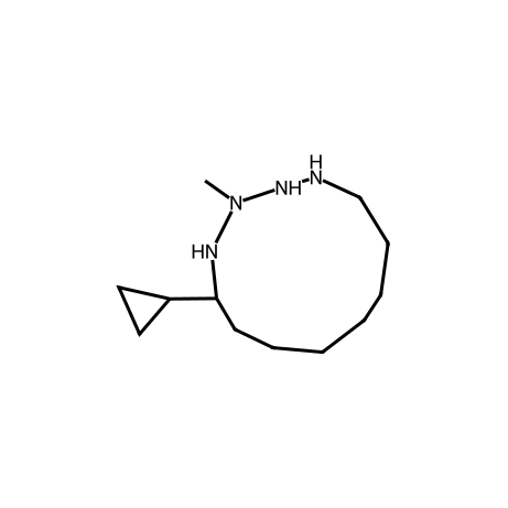 CN1NNCCCCCCCC(C2CC2)N1